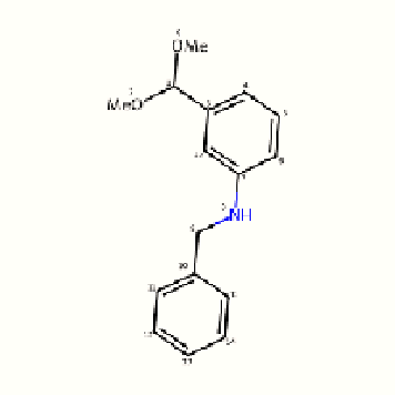 COC(OC)c1cccc(NCc2ccccc2)c1